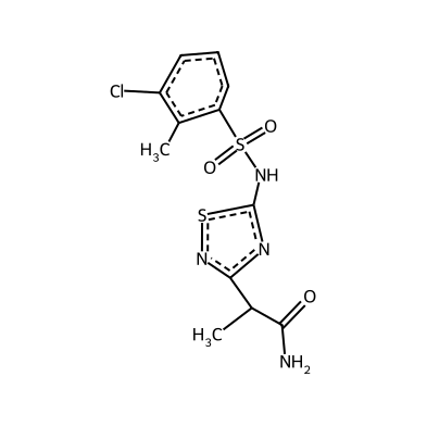 Cc1c(Cl)cccc1S(=O)(=O)Nc1nc(C(C)C(N)=O)ns1